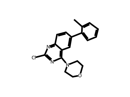 Cc1ccccc1-c1ccc2nc(Cl)nc(N3CCOCC3)c2c1